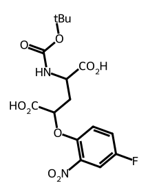 CC(C)(C)OC(=O)NC(CC(Oc1ccc(F)cc1[N+](=O)[O-])C(=O)O)C(=O)O